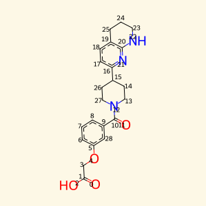 O=C(O)COc1cccc(C(=O)N2CCC(c3ccc4c(n3)NCCC4)CC2)c1